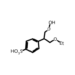 CCOCC(COO)c1ccc(S(=O)(=O)O)cc1